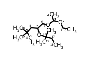 CCOC(C)OCC(CC(C)(C)C)OC(C)(C)CC